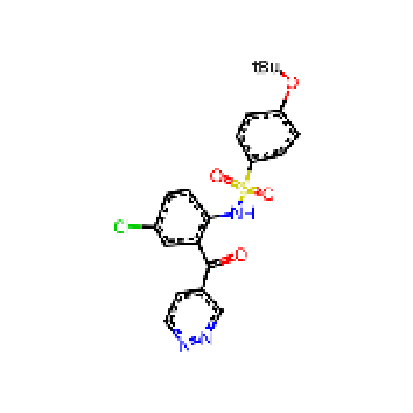 CC(C)(C)Oc1ccc(S(=O)(=O)Nc2ccc(Cl)cc2C(=O)c2ccnnc2)cc1